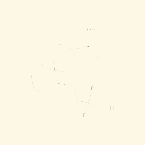 O=C(OC1CCCCC12OCC(CO)(CO)CO2)C(F)(F)S(=O)(=O)O